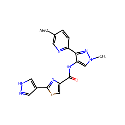 COc1ccc(-c2nn(C)cc2NC(=O)c2csc(-c3cn[nH]c3)n2)nc1